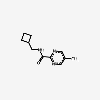 Cc1cnc(C(=O)NCC2CCC2)nc1